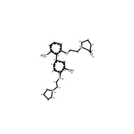 [CH2]c1cccc(OCCN2CCCC2=O)c1-c1ccc(OCCN2CCCC2)c(O)c1